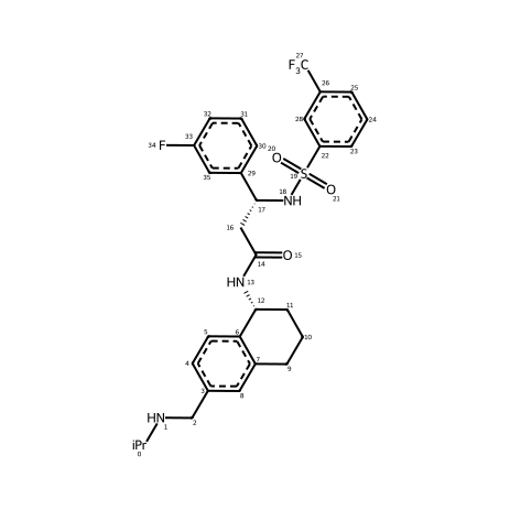 CC(C)NCc1ccc2c(c1)CCC[C@H]2NC(=O)C[C@@H](NS(=O)(=O)c1cccc(C(F)(F)F)c1)c1cccc(F)c1